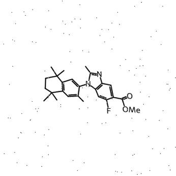 COC(=O)c1cc2nc(C)n(-c3cc4c(cc3C)C(C)(C)CCC4(C)C)c2cc1F